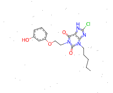 CCCCCn1c(=O)n(CCOc2cccc(O)c2)c(=O)c2[nH]c(Cl)nc21